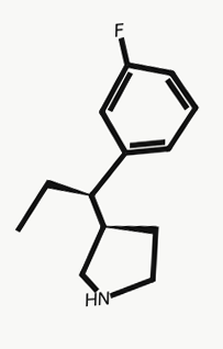 CC[C@@H](c1cccc(F)c1)[C@H]1CCNC1